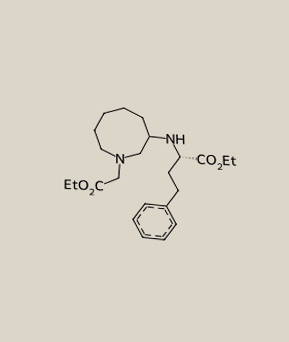 CCOC(=O)CN1CCCCCC(N[C@@H](CCc2ccccc2)C(=O)OCC)C1